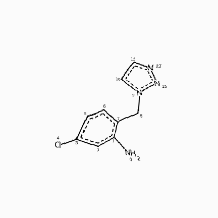 Nc1cc(Cl)ccc1Cn1ccnn1